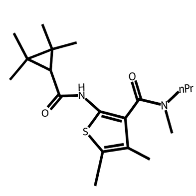 CCCN(C)C(=O)c1c(NC(=O)C2C(C)(C)C2(C)C)sc(C)c1C